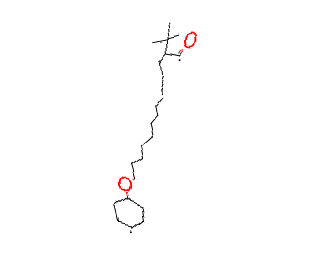 CC(C)(C)C([C]=O)CCCCCCCCCCCCOC1CC[CH]CC1